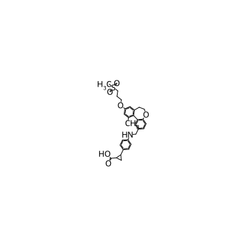 Cc1cc(OCCCS(C)(=O)=O)cc2c1-c1cc(CNc3ccc(C4CC4C(=O)O)cc3)ccc1OCC2